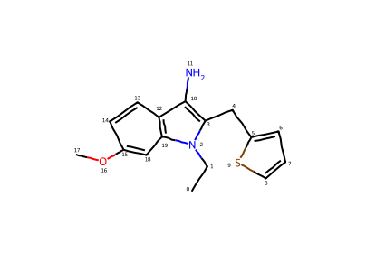 CCn1c(Cc2cccs2)c(N)c2ccc(OC)cc21